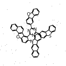 c1ccc2cc3c(cc2c1)c1ccccc1n3-c1ccc2oc3c4ccccc4ccc3c2c1-c1nc(-c2ccc3oc4ccccc4c3c2)nc(-c2ccc3sc4ccccc4c3c2)n1